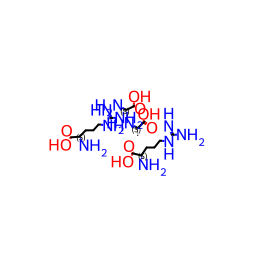 C[C@H](N)C(=O)O.C[C@H](N)C(=O)O.N=C(N)NCCC[C@H](N)C(=O)O.N=C(N)NCCC[C@H](N)C(=O)O